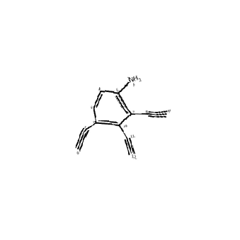 C#Cc1ccc(N)c(C#C)c1C#C